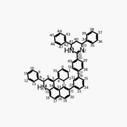 C1=CCCC(C2=CC(c3ccccc3)Nc3ccc4ccc(-c5cccc(-c6ccc(C7=NC(c8ccccc8)CC(c8ccccc8)N7)cc6)c5)cc4c32)=C1